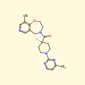 N#Cc1cncc2c1OCCN(C(=O)C1(F)CCN(c3nccc(C(F)(F)F)n3)CC1)C2